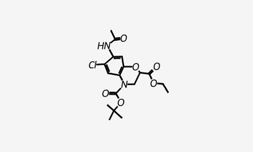 CCOC(=O)C1CN(C(=O)OC(C)(C)C)c2cc(Cl)c(NC(C)=O)cc2O1